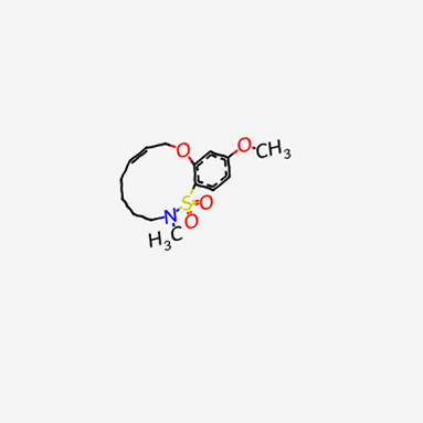 COc1ccc2c(c1)OC/C=C\CCCCN(C)S2(=O)=O